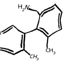 Cc1ccncc1-c1c(C)cccc1N